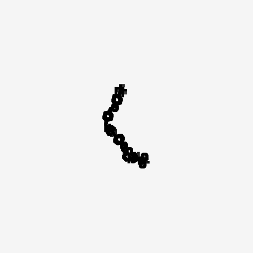 O=[N+]([O-])c1cn2c(n1)O[C@H](COc1ccc(N3CCN(Cc4ccc(COc5ccc(C(F)(F)F)cc5)cc4)CC3)cc1)CC2